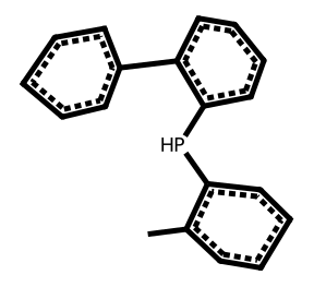 Cc1ccccc1Pc1ccccc1-c1ccccc1